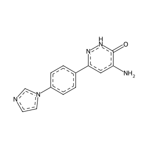 Nc1cc(-c2ccc(-n3ccnc3)cc2)n[nH]c1=O